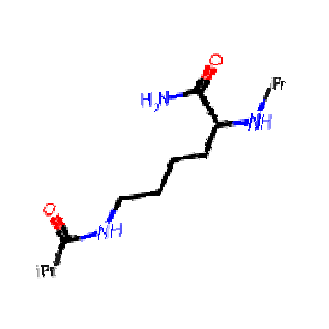 CC(C)NC(CCCCNC(=O)C(C)C)C(N)=O